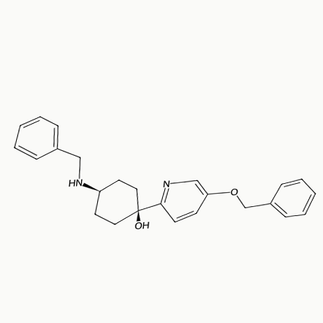 O[C@]1(c2ccc(OCc3ccccc3)cn2)CC[C@H](NCc2ccccc2)CC1